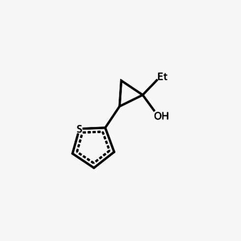 CCC1(O)CC1c1cccs1